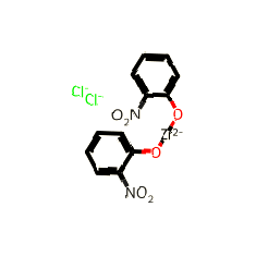 O=[N+]([O-])c1ccccc1[O][Zr+2][O]c1ccccc1[N+](=O)[O-].[Cl-].[Cl-]